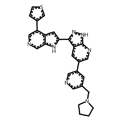 c1cc(-c2cncc3[nH]c(-c4n[nH]c5ncc(-c6cncc(CN7CCCC7)c6)cc45)cc23)cs1